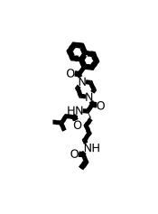 C=CC(=O)NCCCC[C@H](NC(=O)CC(C)C)C(=O)N1CCN(C(=O)c2cccc3ccccc23)CC1